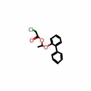 CC(OC(=O)CCl)Oc1ccccc1-c1ccccc1